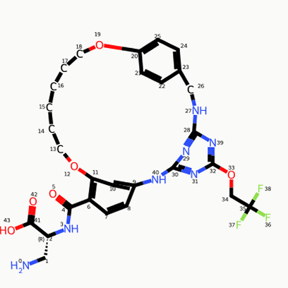 NC[C@@H](NC(=O)c1ccc2cc1OCCCCCCOc1ccc(cc1)CNc1nc(nc(OCC(F)(F)F)n1)N2)C(=O)O